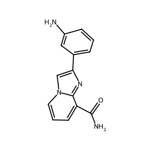 NC(=O)c1cccn2cc(-c3cccc(N)c3)nc12